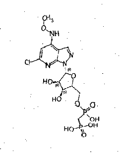 CONc1cc(Cl)nc2c1cnn2[C@@H]1OC(COP(=O)(O)CP(=O)(O)O)[C@@H](O)[C@H]1O